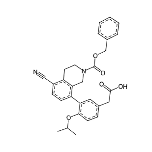 CC(C)Oc1ccc(CC(=O)O)cc1-c1ccc(C#N)c2c1CN(C(=O)OCc1ccccc1)CC2